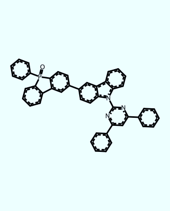 O=P1(c2ccccc2)c2ccccc2-c2cc(-c3ccc4c(c3)c3ccccc3n4-c3nc(-c4ccccc4)cc(-c4ccccc4)n3)ccc21